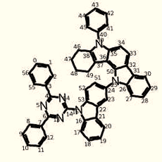 c1ccc(-c2nc(-c3ccccc3)nc(-n3c4ccccc4c4cc(-n5c6ccccc6c6ccc7c(c8c(n7-c7ccccc7)CCCC8)c65)ccc43)n2)cc1